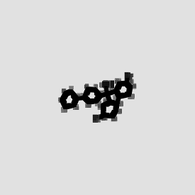 OC1(c2ccc(-c3ccccc3)cc2)c2cc(Br)ccc2-c2ccc(Br)cc21